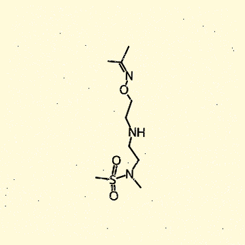 CC(C)=NOCCNCCN(C)S(C)(=O)=O